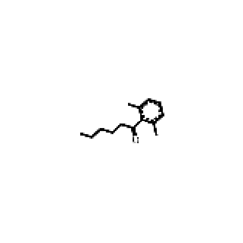 CCCCCC(=O)c1c(C)cccc1C